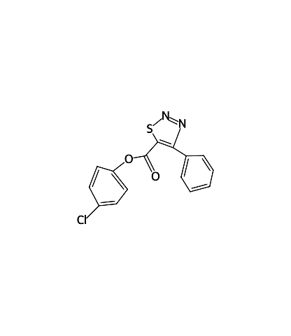 O=C(Oc1ccc(Cl)cc1)c1snnc1-c1ccccc1